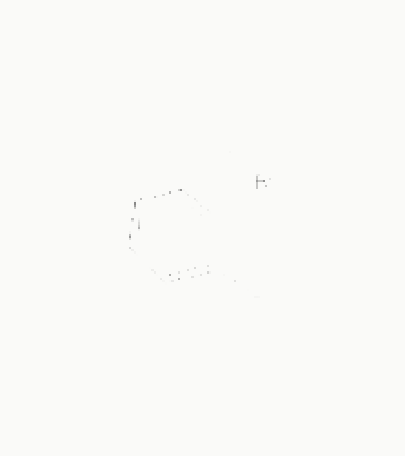 CBr.Fc1ccccc1